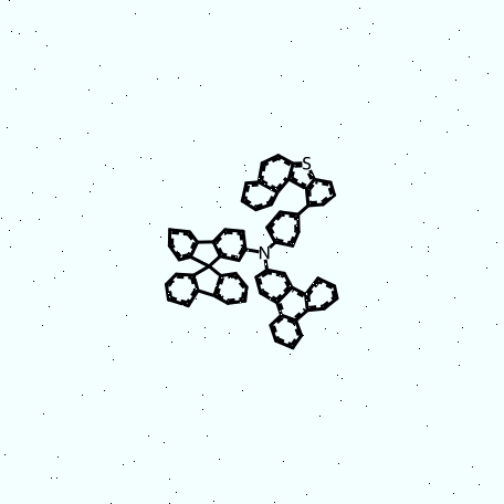 c1ccc2c(c1)-c1ccccc1C21c2ccccc2-c2ccc(N(c3ccc(-c4cccc5sc6ccc7ccccc7c6c45)cc3)c3ccc4c5ccccc5c5ccccc5c4c3)cc21